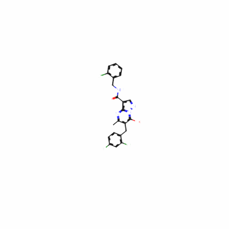 Cc1nc2c(C(=O)NCc3ccccc3Cl)cnn2c(O)c1Cc1ccc(F)cc1Cl